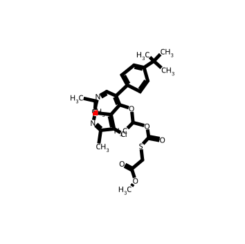 CCn1nc(C)c(Cl)c1/C(OC(C)OC(=O)SCC(=O)OC)=C(\C=N/C)c1ccc(C(C)(C)C)cc1